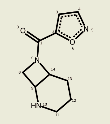 O=C(c1ccno1)N1CC2NCCCC21